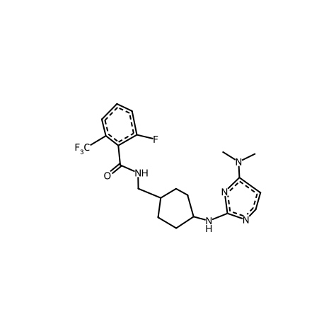 CN(C)c1ccnc(NC2CCC(CNC(=O)c3c(F)cccc3C(F)(F)F)CC2)n1